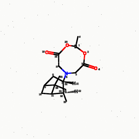 CB1OC(=O)CN([C@H]2CC3CC([C@@H]2C)C3(C)C)CC(=O)O1